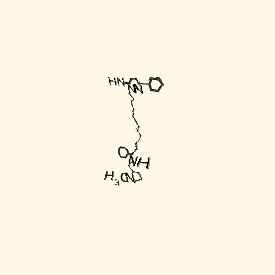 CN1CCCC1CNC(=O)CCCCCCCCCCn1nc(-c2ccccc2)ccc1=N